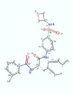 C=C/C=C\C(=C/C)C[C@H](NC(=O)c1cccc(F)c1)C(=O)Nc1ccc(S(=O)(=O)NC2COC2)cc1